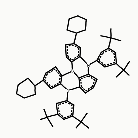 CC(C)(C)c1cc(N2c3cc(C4CCCCC4)ccc3B3c4ccc(C5CCCCC5)cc4N(c4cc(C(C)(C)C)cc(C(C)(C)C)c4)c4cccc2c43)cc(C(C)(C)C)c1